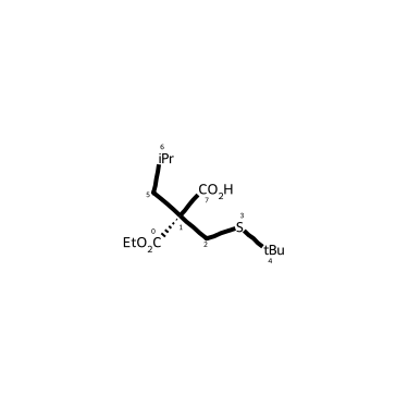 CCOC(=O)[C@](CSC(C)(C)C)(CC(C)C)C(=O)O